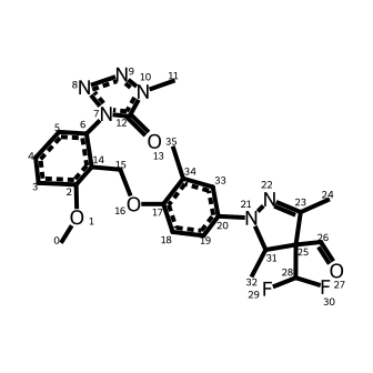 COc1cccc(-n2nnn(C)c2=O)c1COc1ccc(N2N=C(C)C(C=O)(C(F)F)C2C)cc1C